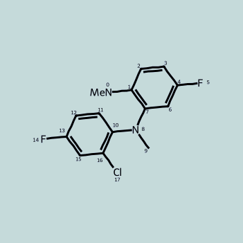 CNc1ccc(F)cc1N(C)c1ccc(F)cc1Cl